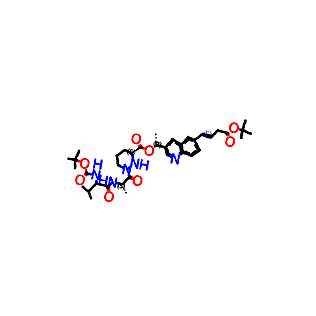 CC(C)C(NC(=O)OC(C)(C)C)C(=O)N[C@@H](C)C(=O)N1CCC[C@@H](C(=O)O[C@H](C)c2cnc3ccc(/C=C/CC(=O)OC(C)(C)C)cc3c2)N1